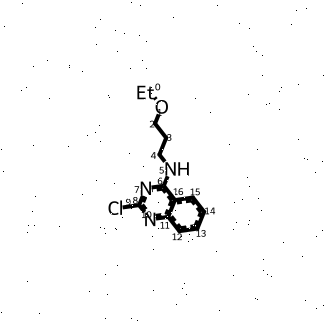 CCOCCCNc1nc(Cl)nc2ccccc12